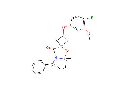 COc1cc(OC2CC3(C2)O[C@@H]2CC[C@@H](c4ccccc4)N2C3=O)ccc1F